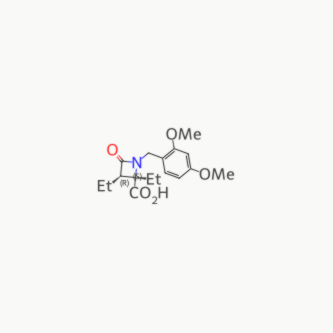 CC[C@H]1C(=O)N(Cc2ccc(OC)cc2OC)[C@]1(CC)C(=O)O